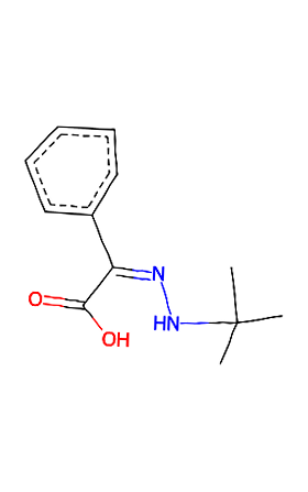 CC(C)(C)NN=C(C(=O)O)c1ccccc1